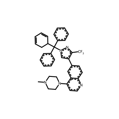 CN1CCN(c2ccnc3ccc(-c4cn(C(c5ccccc5)(c5ccccc5)C5C=CC=CC5)nc4C(F)(F)F)cc23)CC1